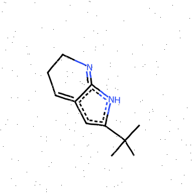 CC(C)(C)c1cc2c([nH]1)=NCCC=2